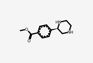 COC(=O)c1ccc([C@@H]2CNCCN2)cc1